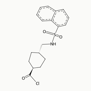 O=C(Cl)[C@H]1CC[C@H](CNS(=O)(=O)c2cccc3ccccc23)CC1